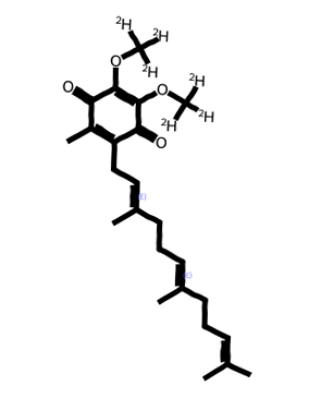 [2H]C([2H])([2H])OC1=C(OC([2H])([2H])[2H])C(=O)C(C/C=C(\C)CC/C=C(\C)CCC=C(C)C)=C(C)C1=O